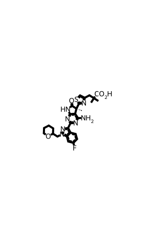 CC(C)(Cc1csc([C@]2(C)C(=O)Nc3nc(-c4nn(CC5CCCCO5)c5cc(F)ccc45)nc(N)c32)n1)C(=O)O